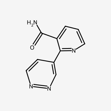 NC(=O)c1cccnc1-c1ccnnc1